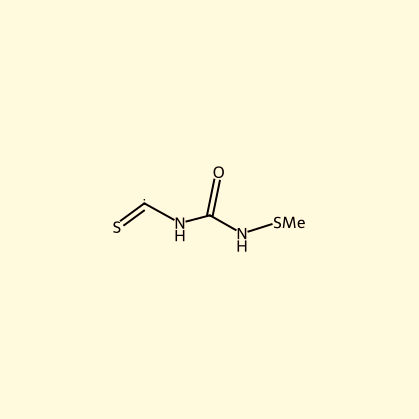 CSNC(=O)N[C]=S